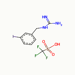 N=C(N)NCc1cccc(I)c1.O=S(=O)(O)C(F)(F)F